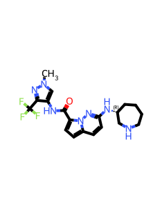 Cn1cc(NC(=O)c2ccc3ccc(N[C@@H]4CCCCNC4)nn23)c(C(F)(F)F)n1